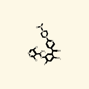 C[S+]([O-])N1CCN(c2ccc(C(=N)c3cc(O[C@H](N)c4c(Cl)cnnc4Cl)c(F)cc3N)cn2)CC1